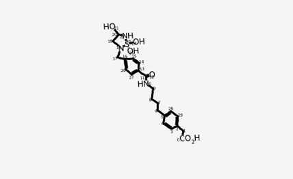 O=C(O)Cc1ccc(CCCCNC(=O)c2ccc(CN3CC(O)NS3(O)O)cc2)cc1